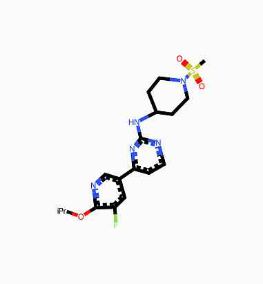 CC(C)Oc1ncc(-c2ccnc(NC3CCN(S(C)(=O)=O)CC3)n2)cc1F